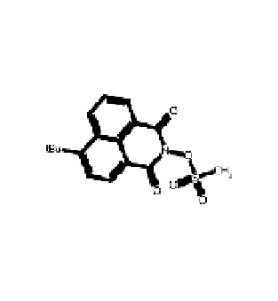 CC(C)(C)c1ccc2c3c(cccc13)C(=O)N(OS(C)(=O)=O)C2=O